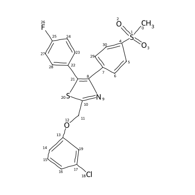 CS(=O)(=O)c1ccc(-c2nc(COc3cccc(Cl)c3)sc2-c2ccc(F)cc2)cc1